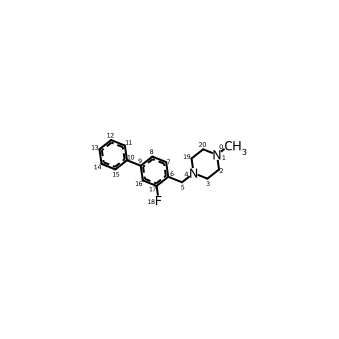 CN1CCN(Cc2ccc(-c3ccccc3)cc2F)CC1